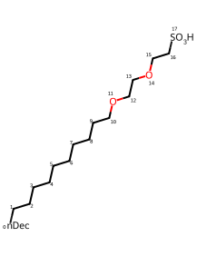 CCCCCCCCCCCCCCCCCCCCOCCOCCS(=O)(=O)O